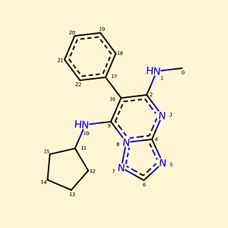 CNc1nc2ncnn2c(NC2CCCC2)c1-c1ccccc1